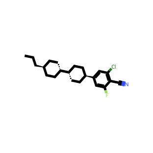 CCC[C@H]1CC[C@H]([C@H]2CC[C@H](c3cc(F)c(C#N)c(Cl)c3)CC2)CC1